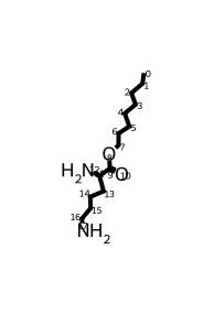 CCCCCCCCOC(=O)C(N)CCCCN